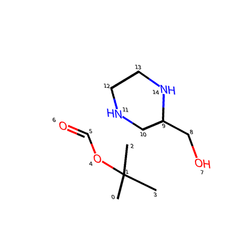 CC(C)(C)OC=O.OCC1CNCCN1